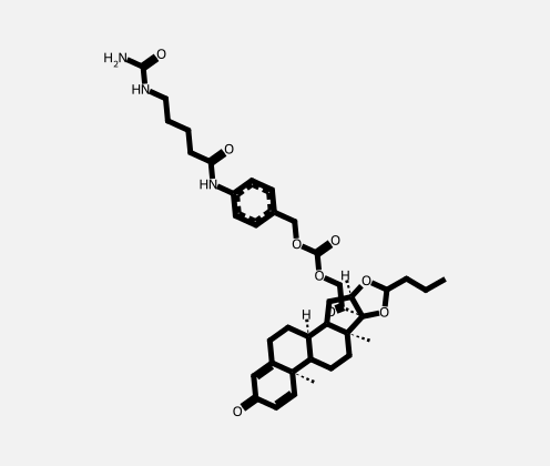 CCCC1O[C@@H]2CC3[C@@H]4CCC5=CC(=O)C=C[C@]5(C)C4CC[C@]3(C)[C@]2(C(=O)COC(=O)OCc2ccc(NC(=O)CCCCNC(N)=O)cc2)O1